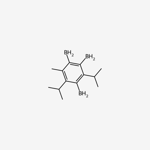 Bc1c(B)c(C(C)C)c(B)c(C(C)C)c1C